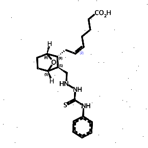 O=C(O)CCC/C=C\C[C@@H]1[C@@H](CNNC(=S)Nc2ccccc2)[C@@H]2CC[C@H]1O2